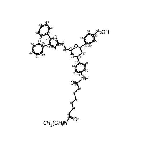 CN(O)C(=O)CCCCCCC(=O)Nc1ccc(C2CC(c3ccc(CO)cc3)OC(CSc3nc(-c4ccccc4)c(-c4ccccc4)o3)O2)cc1